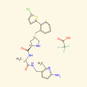 Cc1nc(N)ccc1CNC(=O)[C@H](C)NC(=O)[C@H]1C[C@H](Cc2ccccc2-c2ccc(Cl)s2)CN1.O=C(O)C(F)(F)F